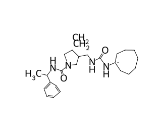 CC(NC(=O)N1CCC(CNC(=O)N[C]2CCCCCCC2)C1)c1ccccc1.[CH2].[CH2]